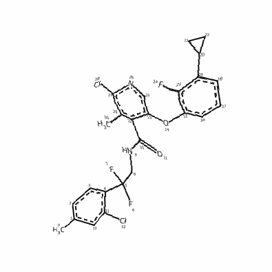 Cc1ccc(C(F)(F)CNC(=O)c2c(Oc3cccc(C4CC4)c3F)cnc(Cl)c2C)c(Cl)c1